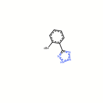 [CH2]CCCc1ccccc1-c1nn[nH]n1